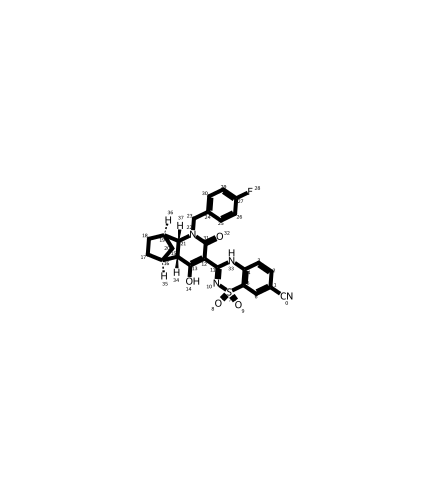 N#Cc1ccc2c(c1)S(=O)(=O)N=C(C1=C(O)[C@@H]3[C@H]4CC[C@H](C4)[C@@H]3N(Cc3ccc(F)cc3)C1=O)N2